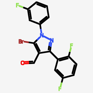 O=Cc1c(-c2cc(F)ccc2F)nn(-c2cccc(F)c2)c1Br